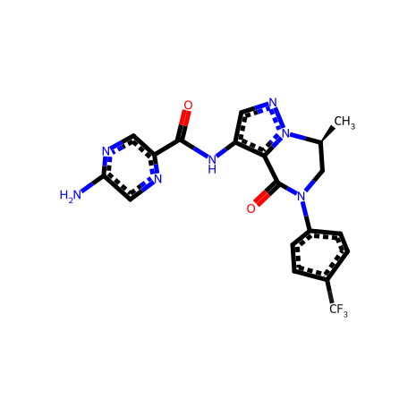 C[C@H]1CN(c2ccc(C(F)(F)F)cc2)C(=O)c2c(NC(=O)c3cnc(N)cn3)cnn21